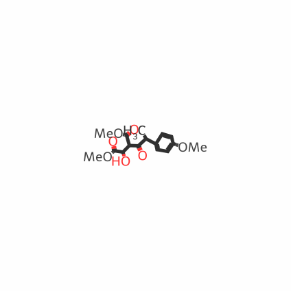 COC(=O)C(O)C(C(=O)OC)C(=O)C(C)c1ccc(OC)cc1